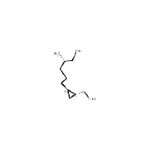 CC(=O)OC[C@@H](C)CCC[C@@H]1C[C@H]1CC=O